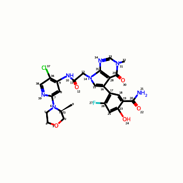 C[C@H]1COCCN1c1cc(NC(=O)Cn2cc(-c3cc(C(N)=O)c(O)cc3F)c3c(=O)n(C)cnc32)c(Cl)cn1